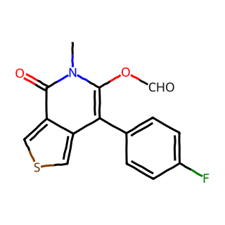 Cn1c(OC=O)c(-c2ccc(F)cc2)c2cscc2c1=O